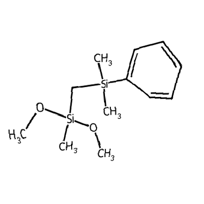 CO[Si](C)(C[Si](C)(C)c1ccccc1)OC